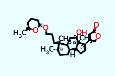 C[C@@H]1CCC[C@H](OCCC[C@]2(C)C3C[C@@H](O)[C@]4(C)[C@@H](C5=CC(=O)OC5)CC[C@@H]4C3CC[C@@H]2C)O1